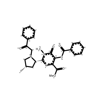 COC(=O)c1nc([C@@H]2C[C@H](F)CN2CC(=O)c2ccccc2)n(C)c(=O)c1OC(=O)c1ccccc1